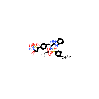 COc1ccc(S(=O)(=O)N(OC(=O)C(F)(F)F)[C@@H](Cc2ccc(C3CC(=O)NS3(O)O)cc2)c2nc3ccccc3[nH]2)cc1